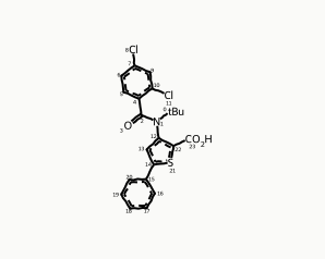 CC(C)(C)N(C(=O)c1ccc(Cl)cc1Cl)c1cc(-c2ccccc2)sc1C(=O)O